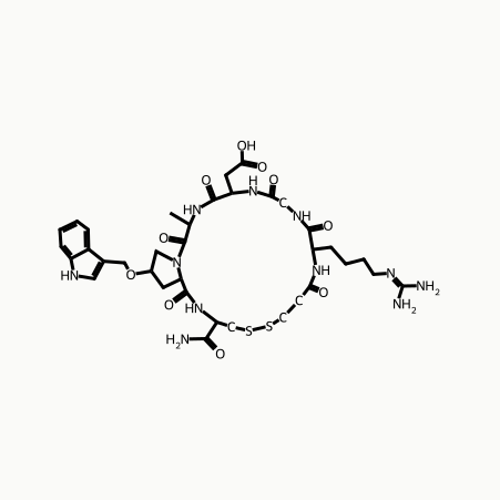 CC1NC(=O)C(CC(=O)O)NC(=O)CNC(=O)C(CCCCN=C(N)N)NC(=O)CCSSCC(C(N)=O)NC(=O)C2CC(OCc3c[nH]c4ccccc34)CN2C1=O